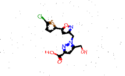 O=C(O)c1cc(CO)n(Cc2cc(-c3ccc(Cl)s3)on2)n1